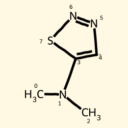 CN(C)c1[c]nns1